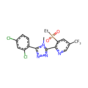 CCS(=O)(=O)c1cc(C(F)(F)F)cnc1-c1nnc(-c2ccc(Cl)cc2Cl)n1C